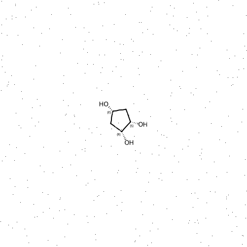 O[C@H]1C[C@@H](O)[C@@H](O)C1